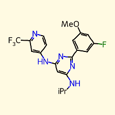 COc1cc(F)cc(-c2nc(Nc3ccnc(C(F)(F)F)c3)cc(NC(C)C)n2)c1